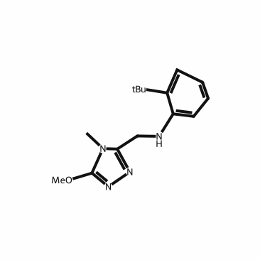 COc1nnc(CNc2ccccc2C(C)(C)C)n1C